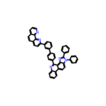 c1ccc(-c2nc3c4c(-c5ccc(-c6cccc(-c7ccc8ccc9cccnc9c8n7)c6)cc5)nc5ccccc5c4ccc3n2-c2ccccc2)cc1